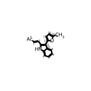 CC(=O)/C=C/c1[nH]c2ccccc2c1-c1ccc(C)o1